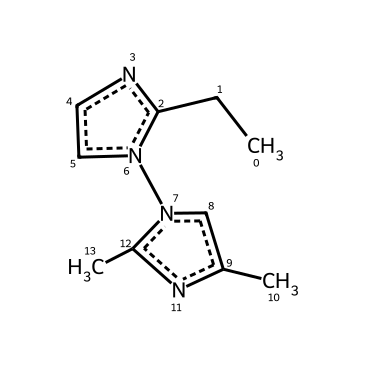 CCc1nccn1-n1cc(C)nc1C